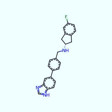 Fc1ccc2c(c1)C[C@@H](NCc1ccc(-c3ccc4[nH]cnc4c3)cc1)C2